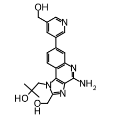 CC(C)(O)Cn1c(CO)nc2c(N)nc3cc(-c4cncc(CO)c4)ccc3c21